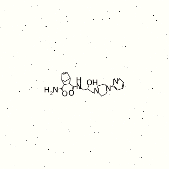 NC(=O)C1C2C=CC(C2)C1C(=O)NCC(O)CN1CCN(c2ccccn2)CC1